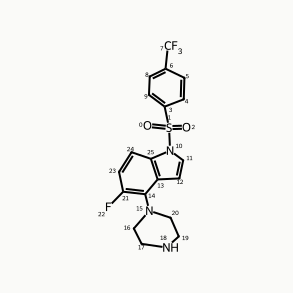 O=S(=O)(c1ccc(C(F)(F)F)cc1)n1ccc2c(N3CCNCC3)c(F)ccc21